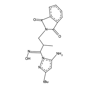 CC(CN1C(=O)c2ccccc2C1=O)C(=NO)n1nc(C(C)(C)C)cc1N